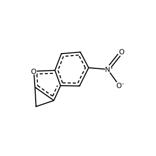 O=[N+]([O-])c1ccc2oc3c(c2c1)C3